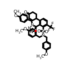 COc1ccc(CN(Cc2ccc(OC)cc2)S(=O)(=O)c2c(C(F)(F)F)ccc(C3CCC(=O)CC3)c2-c2nnnn2Cc2ccc(OC)cc2)cc1